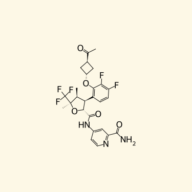 CC(=O)[C@H]1C[C@H](Oc2c([C@H]3[C@H](C(=O)Nc4ccnc(C(N)=O)c4)O[C@@](C)(C(F)(F)F)[C@H]3C)ccc(F)c2F)C1